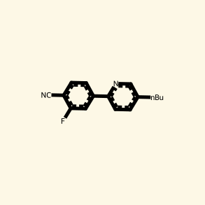 CCCCc1ccc(-c2ccc(C#N)c(F)c2)nc1